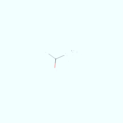 C[CH](O)[AlH2].[MgH2]